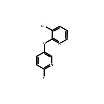 N#Cc1cccnc1Oc1ccc(F)nc1